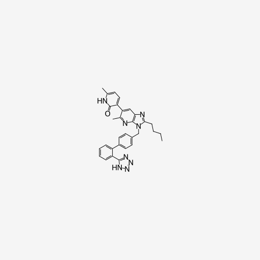 CCCCc1nc2cc(-c3ccc(C)[nH]c3=O)c(C)nc2n1Cc1ccc(-c2ccccc2-c2nnn[nH]2)cc1